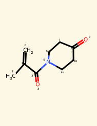 C=C(C)C(=O)N1CCC(=O)CC1